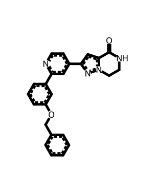 O=C1NCCn2nc(-c3ccnc(-c4cccc(OCc5ccccc5)c4)c3)cc21